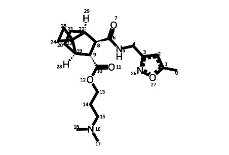 Cc1cc(CNC(=O)[C@H]2[C@H](C(=O)OCCCN(C)C)[C@H]3CC[C@@H]2C32CC2)no1